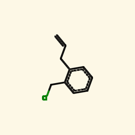 C=CCc1ccccc1CCl